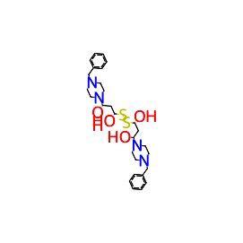 OC(CC(O)N1CCN(Cc2ccccc2)CC1)SSC(O)CC(O)N1CCN(Cc2ccccc2)CC1